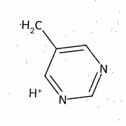 [CH2]c1cncnc1.[H+]